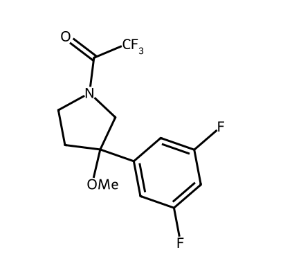 COC1(c2cc(F)cc(F)c2)CCN(C(=O)C(F)(F)F)C1